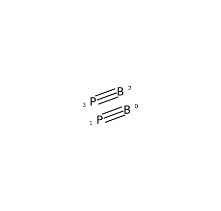 B#P.B#P